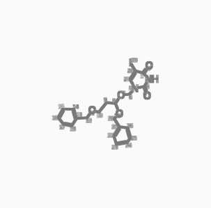 O=c1[nH]c(=O)n(COC(CCOCc2ccccc2)OCc2ccccc2)cc1I